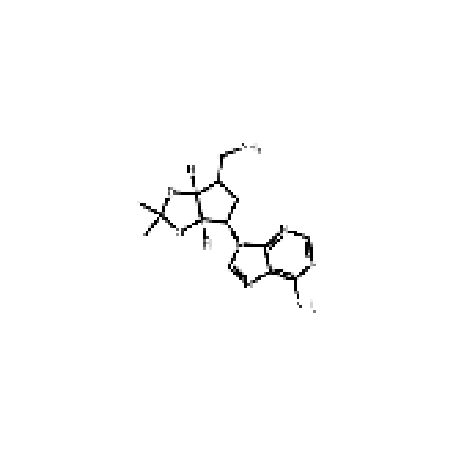 CC1(C)O[C@@H]2[C@@H](CN)C[C@@H](n3cnc4c(N)ncnc43)[C@@H]2O1